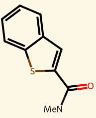 CNC(=O)c1cc2ccccc2s1